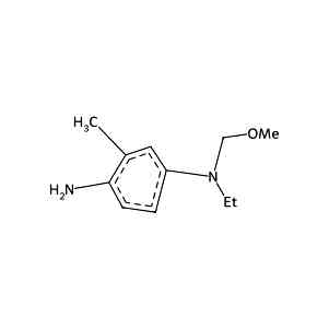 CCN(COC)c1ccc(N)c(C)c1